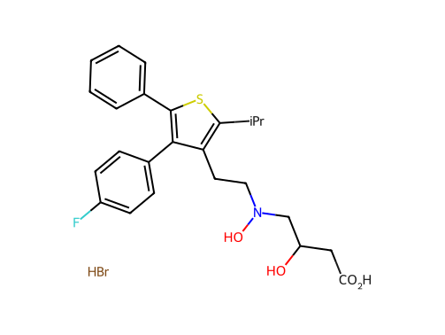 Br.CC(C)c1sc(-c2ccccc2)c(-c2ccc(F)cc2)c1CCN(O)CC(O)CC(=O)O